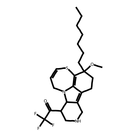 CCCCCCCC1(OC)CCC2=C3CNCC(C(=O)C(F)(F)F)C3N3CC=CSC1=C23